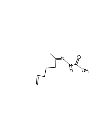 C=CCCC/C(C)=N\NC(=O)O